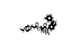 CCN1CCN(CCC(=O)OC[C@H](N)C(=O)Nc2ccc3cnn(-c4cccc(C)c4)c3c2)CC1